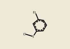 CCc1cccc(SCl)c1